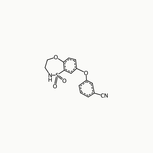 N#Cc1cccc(Oc2ccc3c(c2)S(=O)(=O)NCCO3)c1